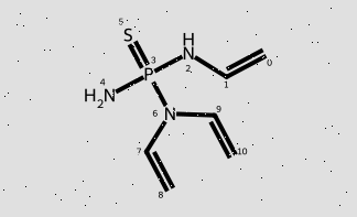 C=CNP(N)(=S)N(C=C)C=C